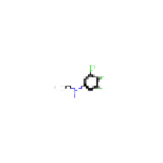 FC(F)(F)CNc1cc(Cl)c(Cl)c(Cl)c1